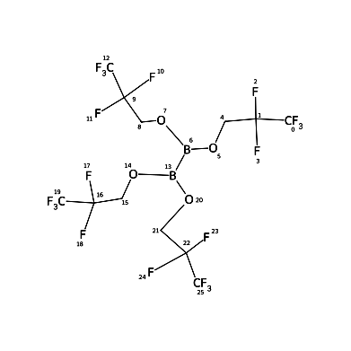 FC(F)(F)C(F)(F)COB(OCC(F)(F)C(F)(F)F)B(OCC(F)(F)C(F)(F)F)OCC(F)(F)C(F)(F)F